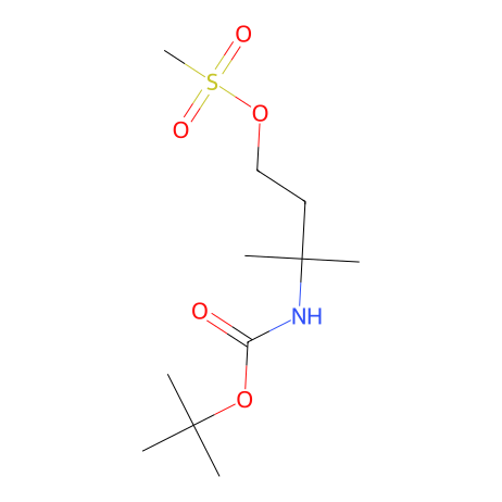 CC(C)(CCOS(C)(=O)=O)NC(=O)OC(C)(C)C